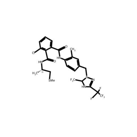 CSC[C@H](C)NC(=O)c1c(Cl)cccc1C(=O)Nc1ccc(CN2N=C(C(F)(F)C(F)(F)F)NC2C(F)(F)F)cc1C